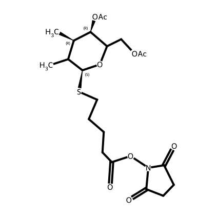 CC(=O)OCC1O[C@@H](SCCCCC(=O)ON2C(=O)CCC2=O)C(C)[C@@H](C)[C@H]1OC(C)=O